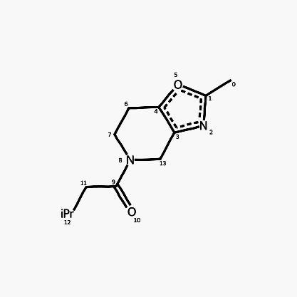 Cc1nc2c(o1)CCN(C(=O)CC(C)C)C2